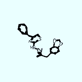 CC(Cc1ccc2c(c1)OCO2)=NNc1nc(-c2ccccc2)cs1